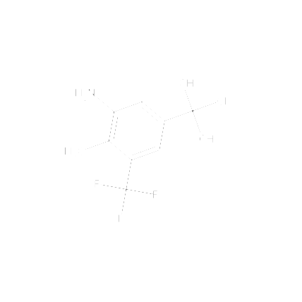 Cc1c(N)cc(C(C)(C)C)cc1C(F)(F)F